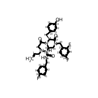 C=CCN1CC(=O)N2[C@@H](Cc3ccc(O)cc3)C(=O)N(Cc3ccc(F)cc3F)C[C@@H]2N1C(=O)NCc1ccc(F)cc1